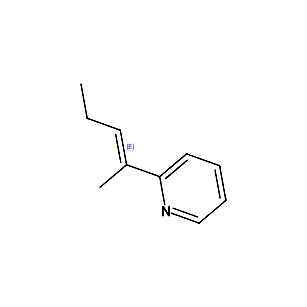 CC/C=C(\C)c1ccccn1